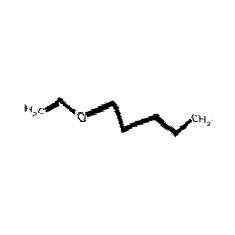 [CH2]CCCCOC=C